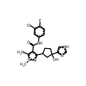 Cn1nc(C2CCC(O)(c3c[nH]cn3)C2)c(C(=O)Nc2ccc(F)c(Cl)c2)c1N